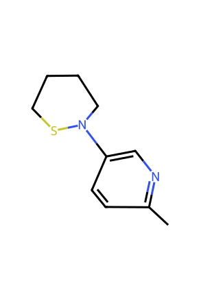 Cc1ccc(N2CCCCS2)cn1